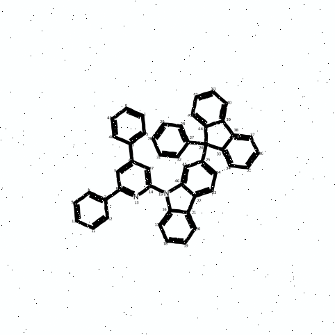 c1ccc(-c2cc(-c3ccccc3)nc(-n3c4ccccc4c4ccc(C5(c6ccccc6)c6ccccc6-c6ccccc65)cc43)c2)cc1